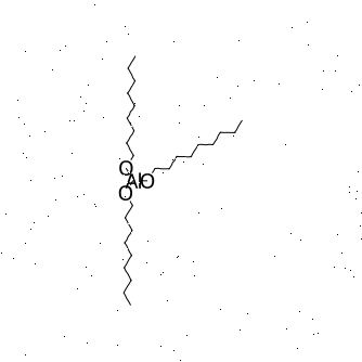 CCCCCCCCC[O][Al]([O]CCCCCCCCC)[O]CCCCCCCCC